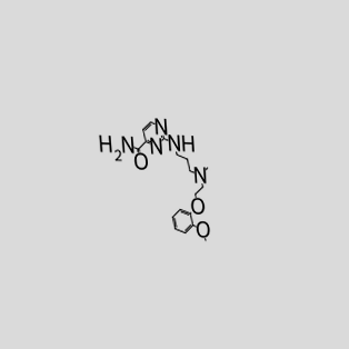 COc1ccccc1OCCN(C)CCCNc1nccc(C(N)=O)n1